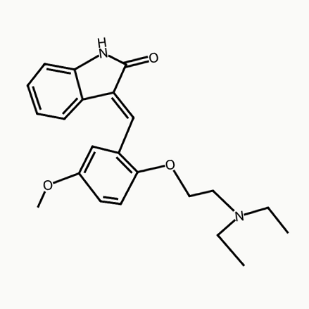 CCN(CC)CCOc1ccc(OC)cc1/C=C1/C(=O)Nc2ccccc21